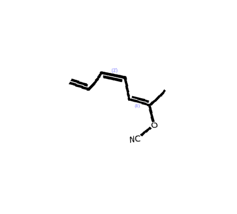 C=C/C=C\C=C(/C)OC#N